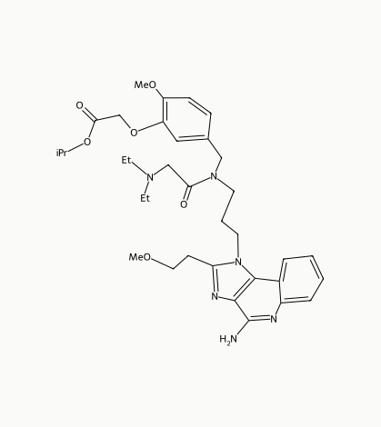 CCN(CC)CC(=O)N(CCCn1c(CCOC)nc2c(N)nc3ccccc3c21)Cc1ccc(OC)c(OCC(=O)OC(C)C)c1